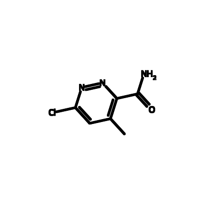 Cc1cc(Cl)nnc1C(N)=O